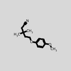 COc1ccc(OCCC(C)(C)CC#N)cc1